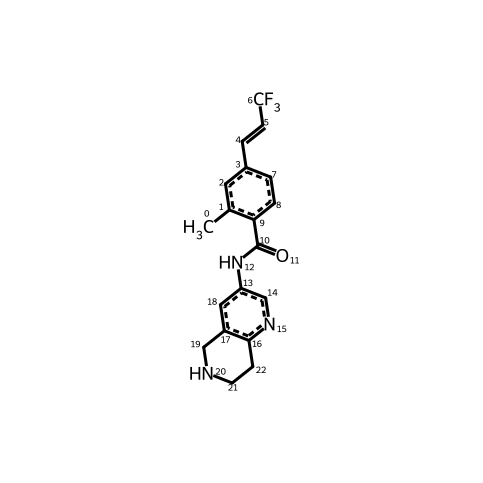 Cc1cc(/C=C/C(F)(F)F)ccc1C(=O)Nc1cnc2c(c1)CNCC2